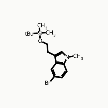 Cn1cc(CCO[Si](C)(C)C(C)(C)C)c2cc(Br)ccc21